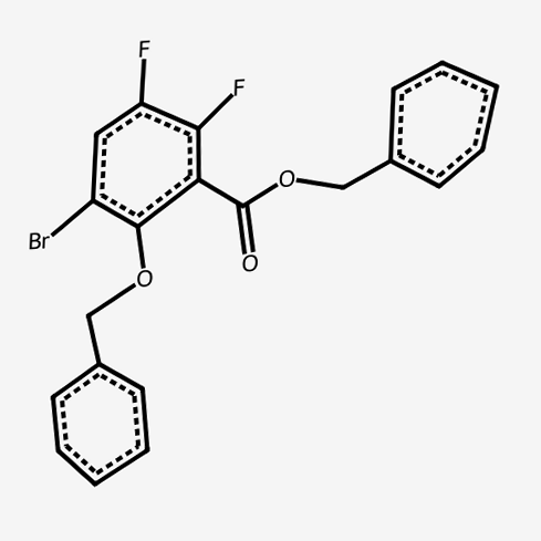 O=C(OCc1ccccc1)c1c(F)c(F)cc(Br)c1OCc1ccccc1